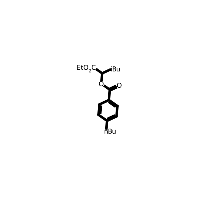 CCCCc1ccc(C(=O)OC(C(=O)OCC)C(C)CC)cc1